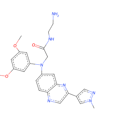 COc1cc(OC)cc(N(CC(=O)NCCN)c2ccc3ncc(-c4cnn(C)c4)nc3c2)c1